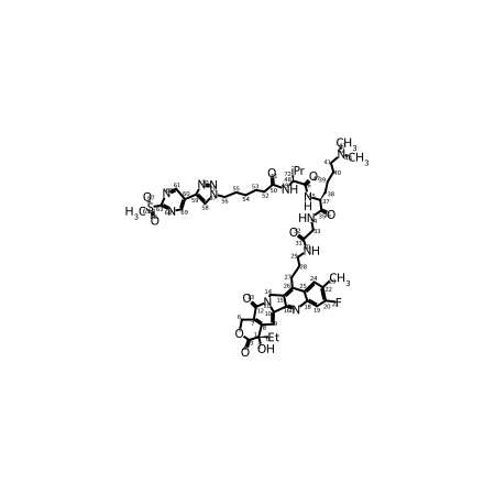 CC[C@@]1(O)C(=O)OCc2c1cc1n(c2=O)Cc2c-1nc1cc(F)c(C)cc1c2CCCNC(=O)CNC(=O)[C@H](CCCCN(C)C)NC(=O)[C@@H](NC(=O)CCCCCn1cc(-c2cnc(S(C)(=O)=O)nc2)nn1)C(C)C